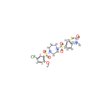 COc1ccc(Cl)cc1S(=O)(=O)N1CCCN(S(=O)(=O)c2ccc3c(c2)sc(=O)n3C)CC1